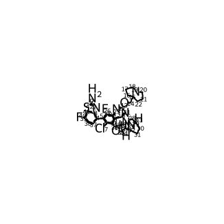 Nc1nc2c(-c3c(Cl)c4c5c(nc(OCC67CCCN6CCC7)nc5c3F)N3C[C@H]5CC[C@H](N5)[C@H]3CO4)ccc(F)c2s1